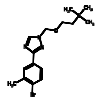 Cc1cc(-c2ncn(COCC[Si](C)(C)C)n2)ccc1Br